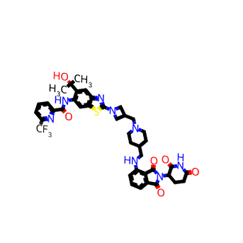 CC(C)(O)c1cc2nc(N3CC(CN4CCC(CNc5cccc6c5C(=O)N(C5CCC(=O)NC5=O)C6=O)CC4)C3)sc2cc1NC(=O)c1cccc(C(F)(F)F)n1